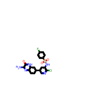 Nc1nc2ccc(-c3cnc(Cl)c(NS(=O)(=O)c4ccc(F)cc4)c3)cc2[nH]c1=O